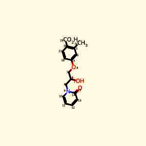 Cc1cc(OCC(O)Cn2ccccc2=O)ccc1C(=O)O